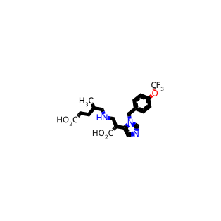 CC(CCC(=O)O)CNCC(C(=O)O)c1cncn1Cc1ccc(OC(F)(F)F)cc1